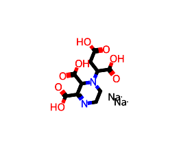 O=C(O)CC(C(=O)O)N1CCN=C(C(=O)O)C1C(=O)O.[Na].[Na]